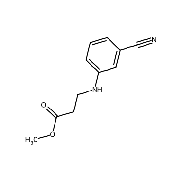 COC(=O)CCNc1cccc(C#N)c1